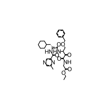 CCOC(=O)CNC(=O)C(=O)C(COCc1ccccc1)NC(=O)[C@@H](CC1CCCCC1)NC(=O)c1cncc(C)n1